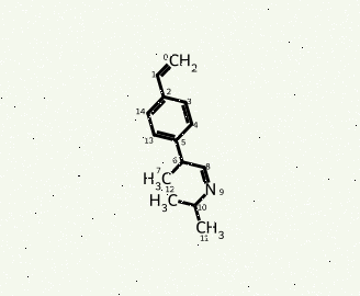 C=Cc1ccc(C(C)/C=N\C(C)C)cc1